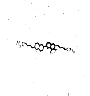 C/C=C/CCc1cc2ccc(C3CCC4CC(CCCCC)CCC4C3)cc2c(F)c1F